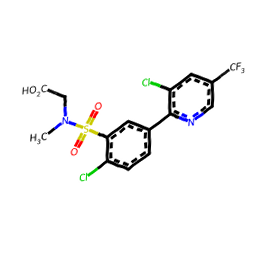 CN(CC(=O)O)S(=O)(=O)c1cc(-c2ncc(C(F)(F)F)cc2Cl)ccc1Cl